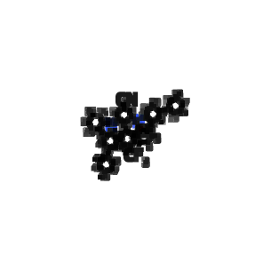 N#Cc1cc(-n2c3ccccc3c3cc(-c4ccccc4)ccc32)c(-c2ccc(C(F)(F)F)cc2C(F)(F)F)c(-n2c3ccccc3c3cc(-c4ccccc4)ccc32)c1